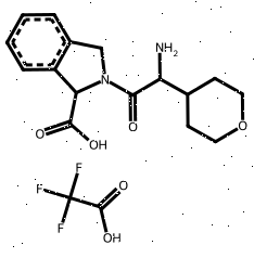 NC(C(=O)N1Cc2ccccc2C1C(=O)O)C1CCOCC1.O=C(O)C(F)(F)F